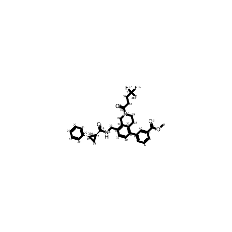 COC(=O)c1cccc(-c2ccc(CNC(=O)[C@H]3C[C@@H]3c3ccccc3)c3c2CCN(C(=O)CCC(F)(F)F)C3)c1